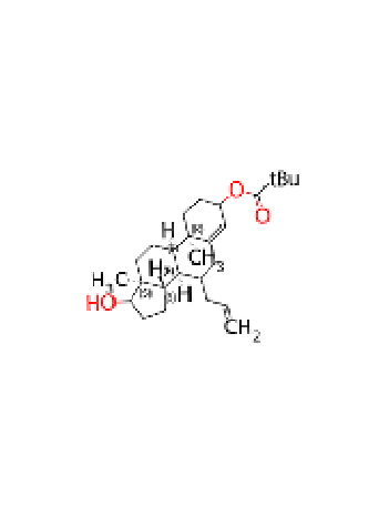 C=CCC1CC2=CC(OC(=O)C(C)(C)C)CC[C@]2(C)[C@@H]2CC[C@]3(C)C(O)CC[C@H]3[C@H]12